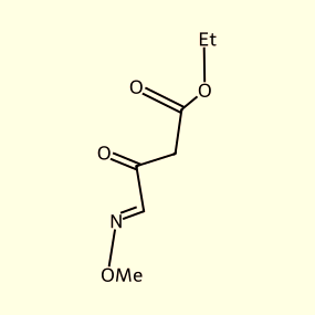 CCOC(=O)CC(=O)C=NOC